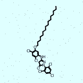 CCCCCCCCCCCCCCCCOc1cc(NC2=NN(c3c(Cl)cc(Cl)cc3Cl)C(=O)C2)c(Cl)cc1Cl